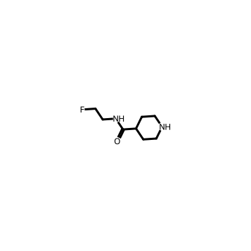 O=C(NCCF)C1CCNCC1